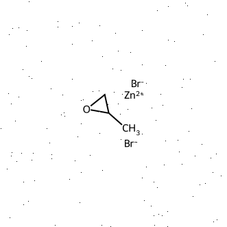 CC1CO1.[Br-].[Br-].[Zn+2]